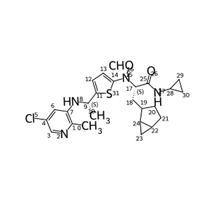 Cc1ncc(Cl)cc1N[C@@H](C)c1ccc(N(C=O)[C@@H](CC2CCC3CC32)C(=O)NC2CC2)s1